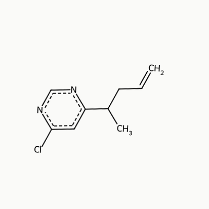 C=CCC(C)c1cc(Cl)ncn1